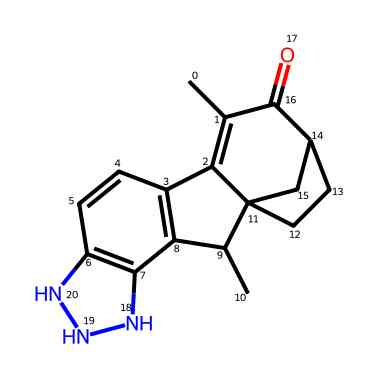 CC1=C2c3ccc4c(c3C(C)C23CCC(C3)C1=O)NNN4